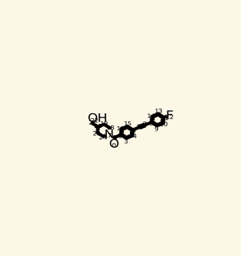 O=C(c1ccc(C#Cc2ccc(F)cc2)cc1)N1CCC(CO)CC1